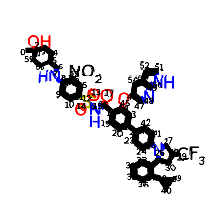 CC1(O)CCC(CNc2ccc(S(=O)(=O)NC(=O)c3ccc(-c4ccc(N5CC(C(F)(F)F)CC5c5ccccc5C5CC5)cc4)cc3Oc3cnc4[nH]ccc4c3)cc2[N+](=O)[O-])CC1